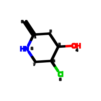 C=C1CC(O)C(Cl)CN1